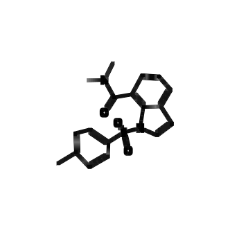 Cc1ccc(S(=O)(=O)n2ccc3cccc(C(=O)N(C)C)c32)cc1